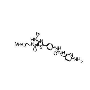 COCCNC(=O)c1sc(-c2ccc(NC(=O)NCc3ccc(N)nc3)cc2)nc1NC1CC1